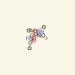 CC(C)(C)OCC(CSc1ccccc1)Nc1ccc(S(=O)(=O)NC(=O)C2(F)C=CC(c3ccccc3)C=C2)cc1[N+](=O)[O-]